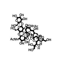 CC(=O)N[C@H]1[C@H](O[C@@H]2[C@H](O[C@]3(C(=O)O)C[C@H](O)[C@@H](NC(C)=O)[C@H]([C@H](O)[C@@H](CO)O[C@]4(C(=O)O)C[C@H](O)[C@@H](NC(=O)CO)[C@H]([C@H](O)[C@H](O)CO)O4)O3)[C@@H](O)[C@H](O[C@H]3[C@H](O)[C@@H](O)[C@H](O)O[C@@H]3CO)O[C@@H]2CO)O[C@H](CO)[C@H](O)[C@@H]1O